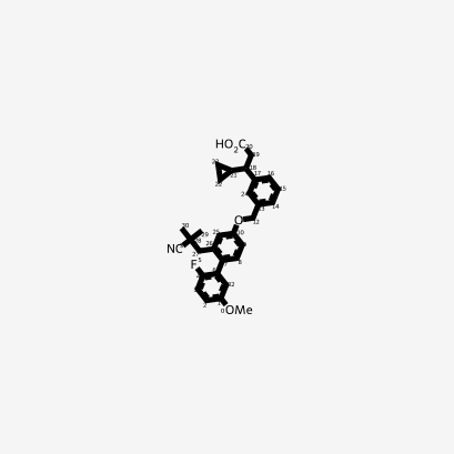 COc1ccc(F)c(-c2ccc(OCc3cccc(C(CC(=O)O)C4CC4)c3)cc2CC(C)(C)C#N)c1